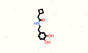 O=C(CC1CCC1)NCCc1ccc(O)c(O)c1